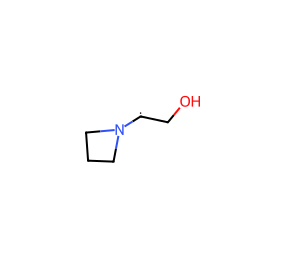 OC[CH]N1CCC1